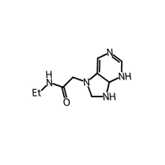 CCNC(=O)CN1CNC2NC=NC=C21